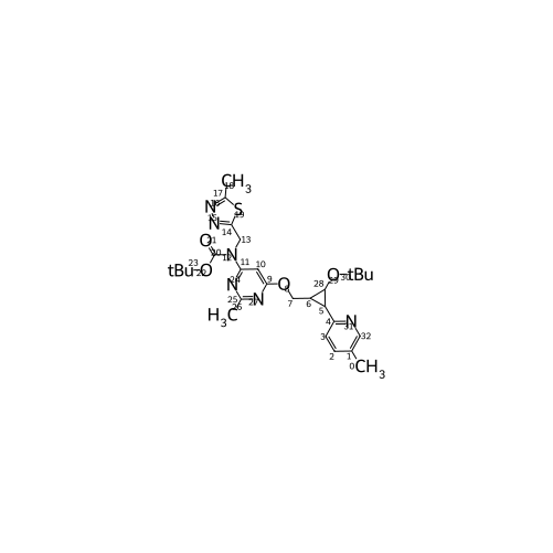 Cc1ccc(C2C(COc3cc(N(Cc4nnc(C)s4)C(=O)OC(C)(C)C)nc(C)n3)C2OC(C)(C)C)nc1